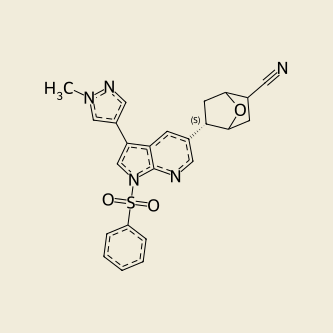 Cn1cc(-c2cn(S(=O)(=O)c3ccccc3)c3ncc([C@@H]4CC5OC4CC5C#N)cc23)cn1